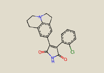 O=C1NC(=O)C(c2ccccc2Cl)=C1c1cc2c3c(c1)CCN3CCC2